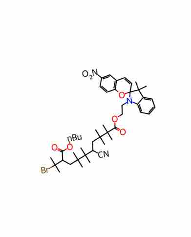 CCCCOC(=O)C(CC(C)(C)C(C)(C)C(C#N)CC(C)(C)C(C)(C)C(=O)OCCN1c2ccccc2C(C)(C)C12C=Cc1cc([N+](=O)[O-])ccc1O2)C(C)(C)Br